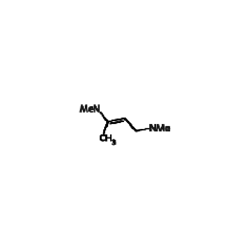 CNCC=C(C)NC